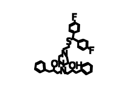 OC(Cc1ccccc1)CN(CC(O)Cc1ccccc1)C1CCN(CCSC(c2ccc(F)cc2)c2ccc(F)cc2)CC1